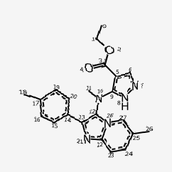 CCOC(=O)c1cn[nH]c1N(C)c1c(-c2ccc(C)cc2)nc2ccc(C)cn12